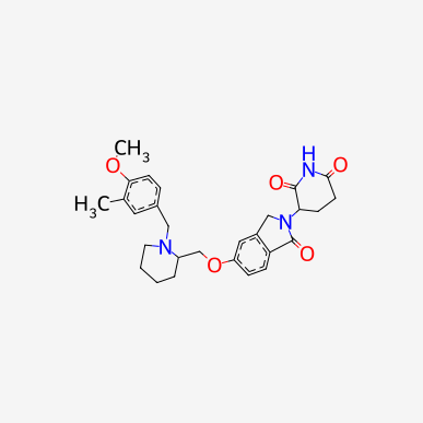 COc1ccc(CN2CCCCC2COc2ccc3c(c2)CN(C2CCC(=O)NC2=O)C3=O)cc1C